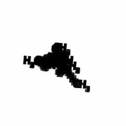 C#C[C@]1(COP(=O)(Cc2ccccc2)N[C@@H](C)C(=O)OCCCCCCCCCC)O[C@@H](n2cnc3c(NC(c4ccccc4)(c4ccccc4)c4ccc(OC)cc4)nc(F)nc32)C[C@@H]1OC(c1ccccc1)(c1ccccc1)c1ccc(OC)cc1